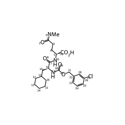 CNC(=O)CC[C@H](NC(=O)[C@H](CC1CCCCC1)NC(=O)OCc1cccc(Cl)c1)C(=O)O